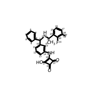 C[C@@H](NC(c1ccccc1)c1cccc(Nc2c(O)c(=O)c2=O)c1)c1cccc(F)c1F